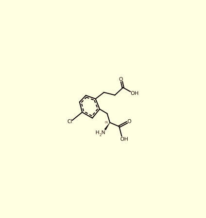 N[C@@H](Cc1cc(Cl)ccc1CCC(=O)O)C(=O)O